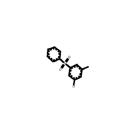 Cc1[c]c(Cl)cc(S(=O)(=O)c2ccccc2)c1